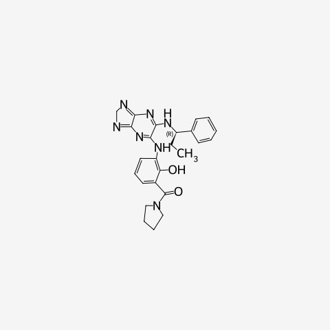 CC[C@@H](Nc1nc2c(nc1Nc1cccc(C(=O)N3CCCC3)c1O)=NCN=2)c1ccccc1